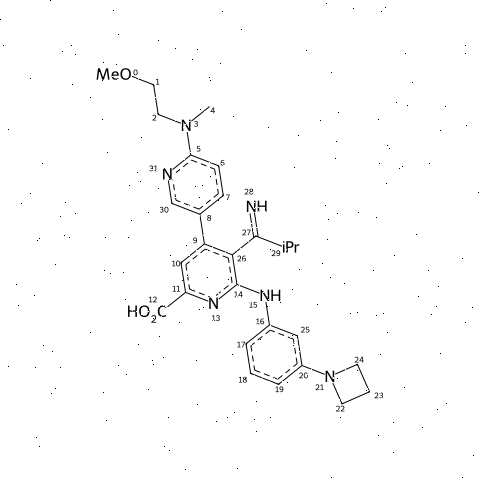 COCCN(C)c1ccc(-c2cc(C(=O)O)nc(Nc3cccc(N4CCC4)c3)c2C(=N)C(C)C)cn1